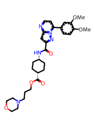 COc1ccc(-c2ccnc3cc(C(=O)N[C@H]4CC[C@@H](C(=O)OCCCN5CCOCC5)CC4)nn23)cc1OC